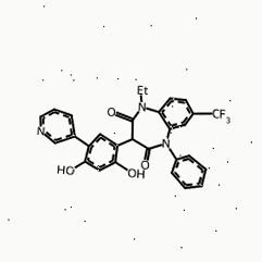 CCN1C(=O)C(c2cc(-c3cccnc3)c(O)cc2O)C(=O)N(c2ccccc2)c2cc(C(F)(F)F)ccc21